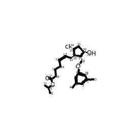 Cc1cc(C)cc(OC[C@@H]2[C@@H](C/C=C\CCCC(=O)OC(C)C)[C@H](Cl)C[C@H]2O)c1